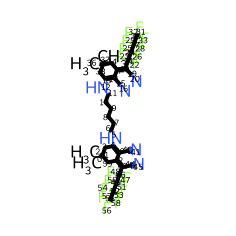 CC1(C)CC(NCCCCCCNC2=C(C#N)/C(=C(\C#N)C(F)(F)C(F)(F)C(F)(F)C(F)(F)F)CC(C)(C)C2)=C(C#N)/C(=C(\C#N)C(F)(F)C(F)(F)C(F)(F)C(F)(F)F)C1